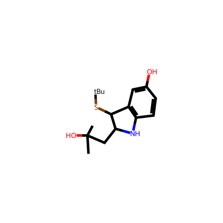 CC(C)(O)CC1Nc2ccc(O)cc2C1SC(C)(C)C